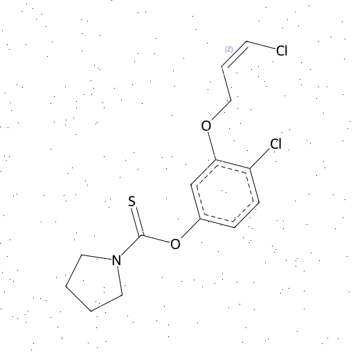 S=C(Oc1ccc(Cl)c(OC/C=C\Cl)c1)N1CCCC1